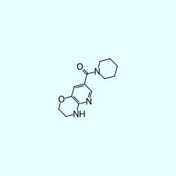 O=C(c1cnc2c(c1)OCCN2)N1CCCCC1